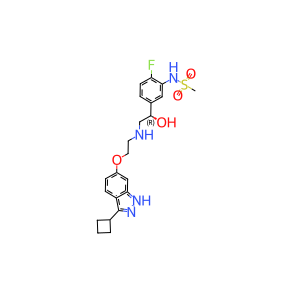 CS(=O)(=O)Nc1cc([C@@H](O)CNCCOc2ccc3c(C4CCC4)n[nH]c3c2)ccc1F